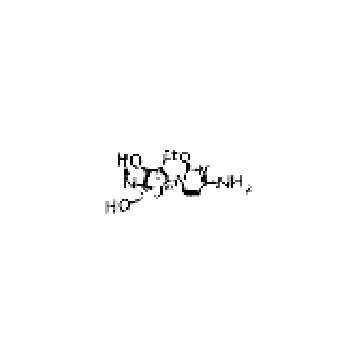 C=N[C@]1(CO)O[C@@H](n2ccc(N)nc2=O)[C@@H](CC)[C@@H]1O